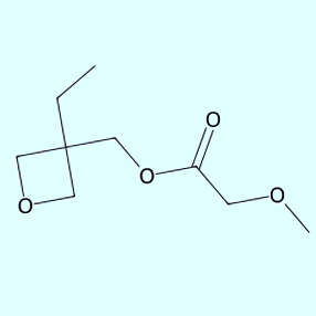 CCC1(COC(=O)COC)COC1